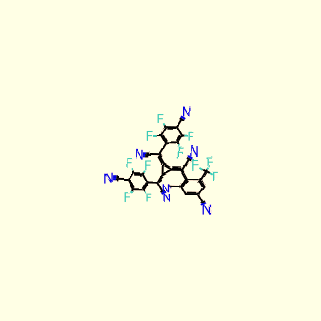 N#CC(=C1C(=C(\C#N)c2c(C#N)cc(C#N)cc2C(F)(F)F)/C1=C(\C#N)c1c(F)c(F)c(C#N)c(F)c1F)c1c(F)c(F)c(C#N)c(F)c1F